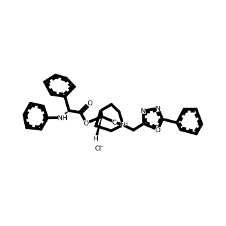 O=C(O[C@H]1C[N+]2(Cc3nnc(-c4ccccc4)o3)CCC1CC2)[C@H](Nc1ccccc1)c1ccccc1.[Cl-]